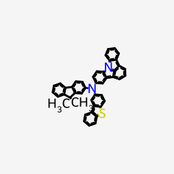 CC1(C)c2ccccc2-c2ccc(N(c3ccc4sc5ccccc5c4c3)c3ccc4c(c3)c3cccc5c6ccccc6n4c53)cc21